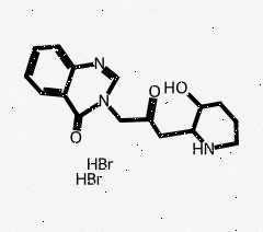 Br.Br.O=C(CC1NCCCC1O)Cn1cnc2ccccc2c1=O